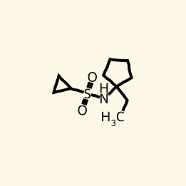 CCC1(NS(=O)(=O)C2CC2)CCCC1